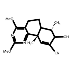 COc1nc(OC)c2c(n1)[C@@]1(C)C=C(C#N)C(O)[C@@H](C)C1CC2